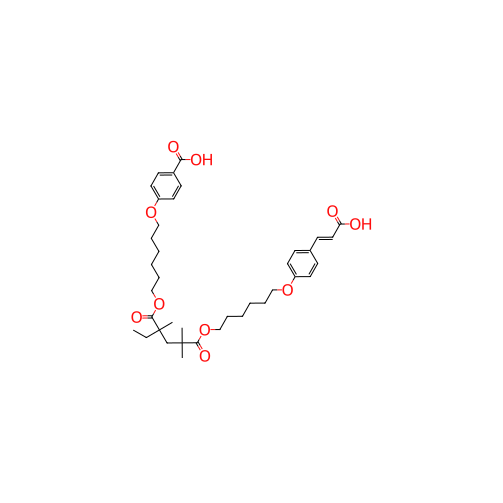 CCC(C)(CC(C)(C)C(=O)OCCCCCCOc1ccc(/C=C/C(=O)O)cc1)C(=O)OCCCCCCOc1ccc(C(=O)O)cc1